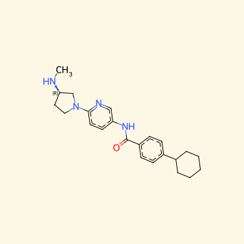 CN[C@@H]1CCN(c2ccc(NC(=O)c3ccc(C4CCCCC4)cc3)cn2)C1